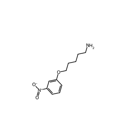 NCCCCCOc1cccc([N+](=O)[O-])c1